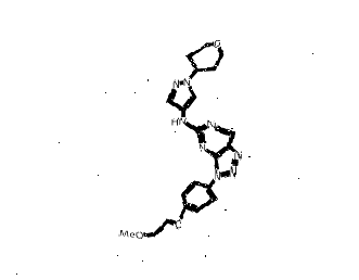 COCCOc1ccc(-n2nnc3cnc(Nc4cnn(C5CCOCC5)c4)nc32)cc1